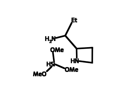 CCC(N)C1CCN1.CO[SiH](OC)OC